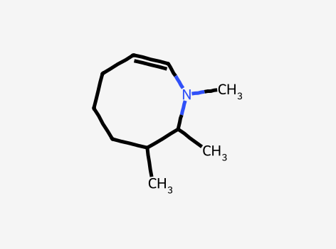 CC1CCC/C=C\N(C)C1C